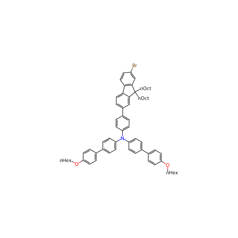 CCCCCCCCC1(CCCCCCCC)c2cc(Br)ccc2-c2ccc(-c3ccc(N(c4ccc(-c5ccc(OCCCCCC)cc5)cc4)c4ccc(-c5ccc(OCCCCCC)cc5)cc4)cc3)cc21